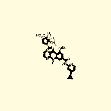 CCOc1cc(C(=O)Nc2cc(C3CC3)ccn2)cc2c1-c1nc([C@@H]3CC[C@](C)(C(=O)O)C3(C)C)n3ccnc(c13)N2F